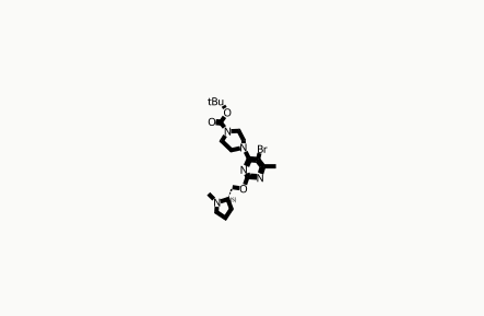 Cc1nc(OC[C@@H]2CCCN2C)nc(N2CCN(C(=O)OC(C)(C)C)CC2)c1Br